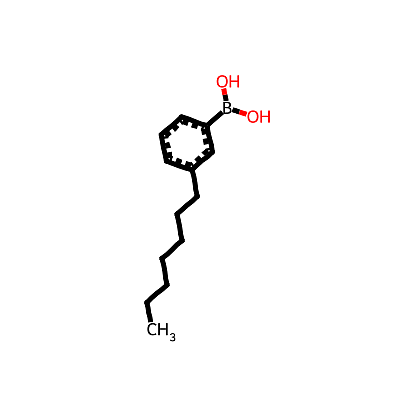 CCCCCCCc1cccc(B(O)O)c1